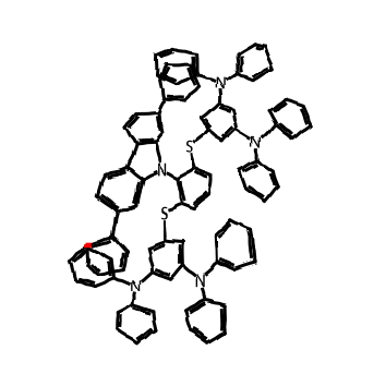 c1ccc(-c2ccc3c4ccc(-c5ccccc5)cc4n(-c4c(Sc5cc(N(c6ccccc6)c6ccccc6)cc(N(c6ccccc6)c6ccccc6)c5)cccc4Sc4cc(N(c5ccccc5)c5ccccc5)cc(N(c5ccccc5)c5ccccc5)c4)c3c2)cc1